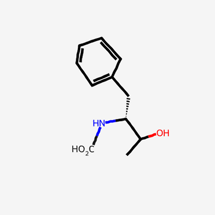 CC(O)[C@@H](Cc1ccccc1)NC(=O)O